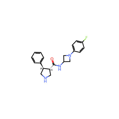 O=C(NC1CN(c2ccc(F)cc2)C1)[C@@H]1CNC[C@H]1c1ccccc1